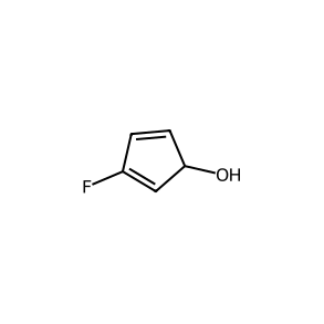 OC1C=CC(F)=C1